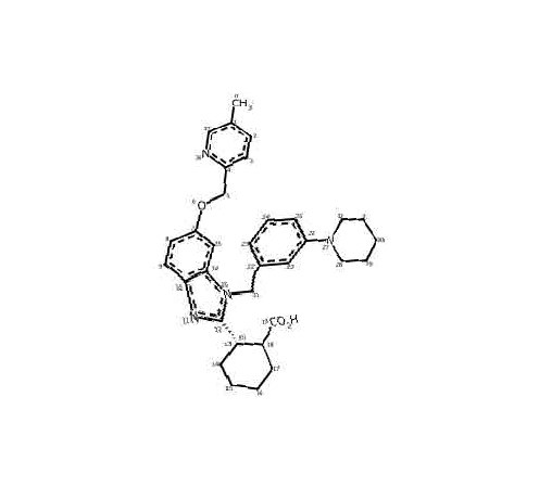 Cc1ccc(COc2ccc3nc([C@H]4CCCCC4C(=O)O)n(Cc4cccc(N5CCCCC5)c4)c3c2)nc1